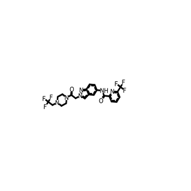 O=C(Nc1ccc2nn(CC(=O)N3CCN(CC(F)(F)F)CC3)cc2c1)c1cccc(C(F)(F)F)n1